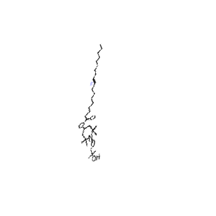 CCCCCCCC/C=C/CCCCCCCC(=O)OC1CC(C)(C)N(OCC(C)(C)O)C(C)(C)C1